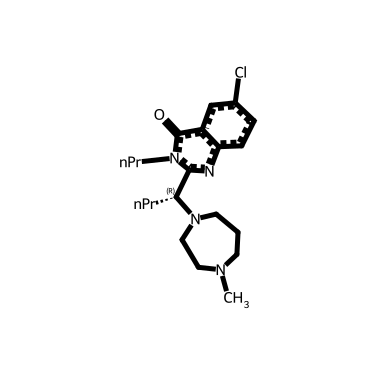 CCC[C@H](c1nc2ccc(Cl)cc2c(=O)n1CCC)N1CCCN(C)CC1